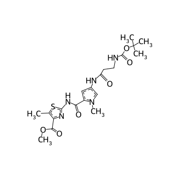 COC(=O)c1nc(NC(=O)c2cc(NC(=O)CCNC(=O)OC(C)(C)C)cn2C)sc1C